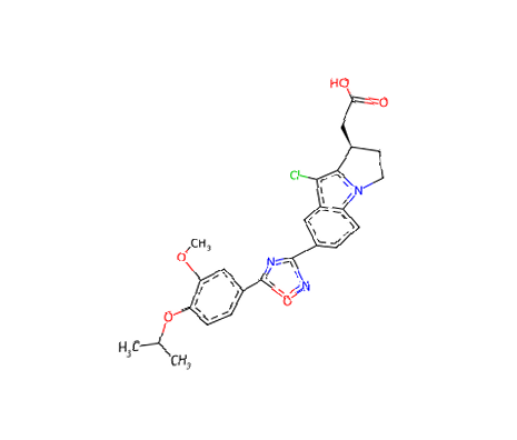 COc1cc(-c2nc(-c3ccc4c(c3)c(Cl)c3n4CC[C@@H]3CC(=O)O)no2)ccc1OC(C)C